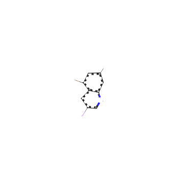 Cc1cc(Br)c2cc(I)cnc2c1